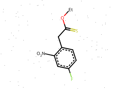 CCOC(=S)Cc1ccc(F)cc1[N+](=O)[O-]